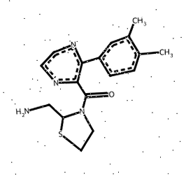 Cc1ccc(-c2nccnc2C(=O)N2CCSC2CN)cc1C